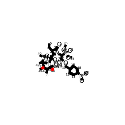 CCC1C(=O)N(C(C(=O)OCc2ccc([N+](=O)[O-])cc2)P(=O)(OC)OC)C1C(C)(O[SiH](C)C(C)(C)C(C)C)O[SiH](C)C(C)(C)C(C)C